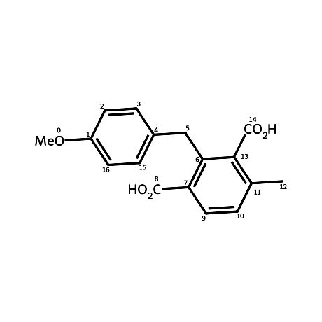 COc1ccc(Cc2c(C(=O)O)ccc(C)c2C(=O)O)cc1